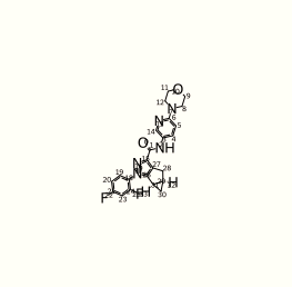 O=C(Nc1ccc(N2CCOCC2)nc1)c1nn(-c2ccc(F)cc2F)c2c1C[C@H]1C[C@@H]21